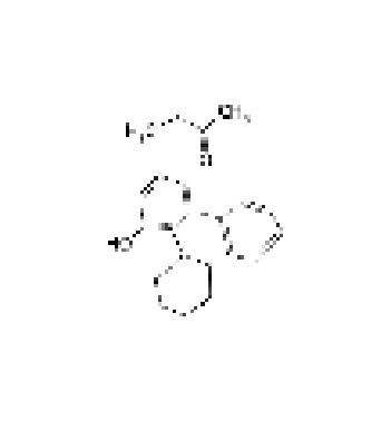 CCC(C)=O.Oc1cccc(-c2ccccc2)c1C1CCCCC1